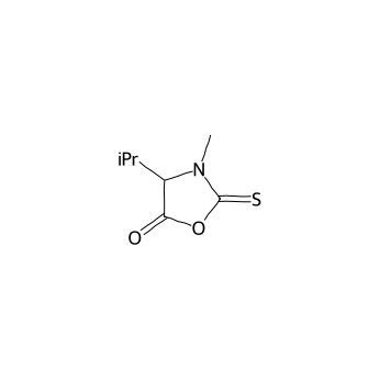 CC(C)C1C(=O)OC(=S)N1C